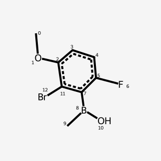 COc1ccc(F)c(B(C)O)c1Br